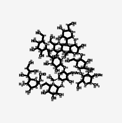 CC(=O)NC1C(O)[C@H](O[C@@H]2OC(CO[C@]3(OC=O)C[C@@H](O)[C@@H](C)C([C@@H](O)C(O)CO)O3)[C@H](O)[C@H](O)C2O)[C@H](CO)O[C@H]1OC1[C@@H](OCC2O[C@@H](O[C@@H]3C(CO)O[C@@H](O[C@@H]4C(CO)O[C@@H](C)C(NC(C)=O)[C@H]4O)C(NC(C)=O)[C@H]3O)C(O)[C@@H](O[C@H]3OC(CO)[C@@H](O)C(O)C3O[C@@H]3OC(CO)[C@@H](O[C@@H]4OC(CO)[C@H](O)[C@H](O)C4O)[C@H](O)C3NC(C)=O)[C@@H]2O)OC(CO)[C@@H](O)[C@@H]1O